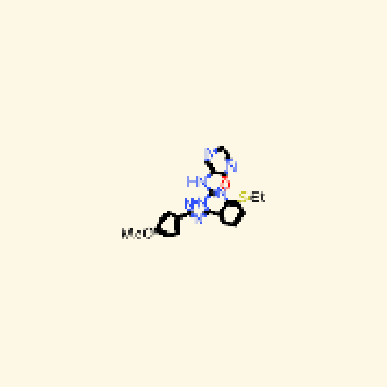 CCSc1cccc2c1nc(Nc1cnccnc1=O)n1nc(-c3ccc(OC)cc3)nc21